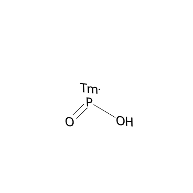 O=PO.[Tm]